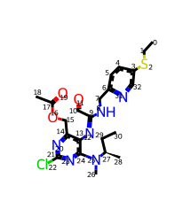 CCSc1ccc(CN/C(C=O)=N/c2c(COC(C)=O)nc(Cl)nc2N(C)[C@H](C)CC)nc1